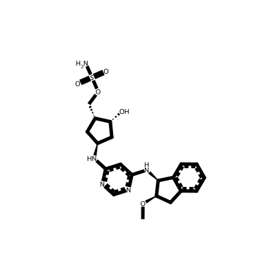 CO[C@@H]1Cc2ccccc2[C@@H]1Nc1cc(N[C@H]2C[C@H](COS(N)(=O)=O)[C@H](O)C2)ncn1